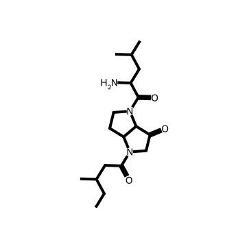 CCC(C)CC(=O)N1CC(=O)C2C1CCN2C(=O)C(N)CC(C)C